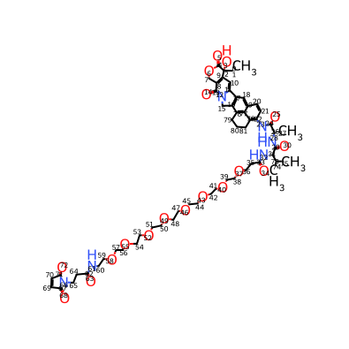 CC[C@@]1(O)C(=O)OCc2c1cc1n(c2=O)Cc2c-1cc1ccc(NC(=O)[C@H](C)NC(=O)[C@@H](NC(=O)CCOCCOCCOCCOCCOCCOCCOCCOCCNC(=O)CCN3C(=O)C=CC3=O)C(C)C)c3c1c2CCC3